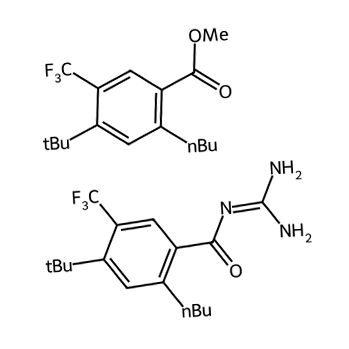 CCCCc1cc(C(C)(C)C)c(C(F)(F)F)cc1C(=O)N=C(N)N.CCCCc1cc(C(C)(C)C)c(C(F)(F)F)cc1C(=O)OC